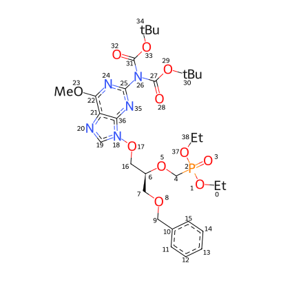 CCOP(=O)(CO[C@@H](COCc1ccccc1)COn1cnc2c(OC)nc(N(C(=O)OC(C)(C)C)C(=O)OC(C)(C)C)nc21)OCC